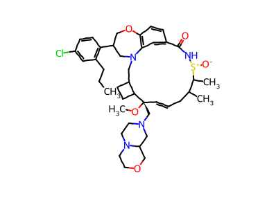 CCCc1cc(Cl)ccc1C1COc2ccc3cc2N(C1)CC1CCC1[C@@](CN1CCN2CCOCC2C1)(OC)/C=C/CC(C)C(C)[S+]([O-])NC3=O